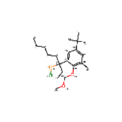 CCCCCC(CC)(PCl)c1cc(C(C)(C)C)cc(C)c1OCOC